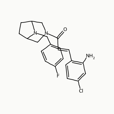 Nc1cc(Cl)ccc1/C=C/C(=O)N1CC2CCC(C1)N2Cc1ccc(F)cc1